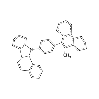 Cc1c(-c2ccc(N3c4ccccc4C4C=Cc5ccccc5C43)cc2)c2ccccc2c2ccccc12